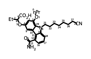 CCCOc1cc(OC(CC)C(=O)O)cc2c3c(C(N)=O)cccc3n(CCCCCCCC#N)c12